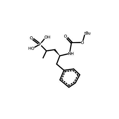 CC(C[C@H](Cc1ccccc1)NC(=O)OC(C)(C)C)P(=O)(O)O